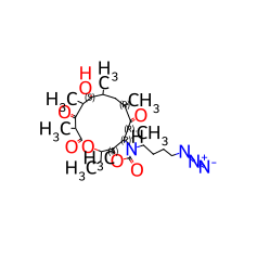 CCC1OC(=O)C(C)C(=O)C(C)[C@@H](O)C(C)C[C@@H](C)C(=O)[C@H](C)[C@H]2N(CCCCN=[N+]=[N-])C(=O)O[C@]12C